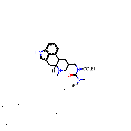 CCOC(=O)N(C[C@@H]1CC2c3cccc4[nH]cc(c34)C[C@H]2N(C)C1)C(=O)N(C)C(C)C